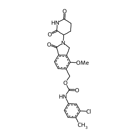 COc1c(COC(=O)Nc2ccc(C)c(Cl)c2)ccc2c1CN(C1CCC(=O)NC1=O)C2=O